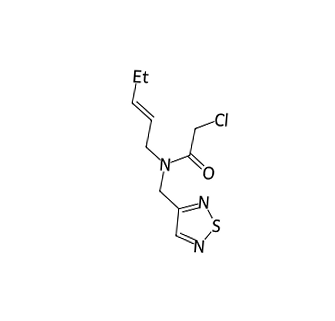 CCC=CCN(Cc1cnsn1)C(=O)CCl